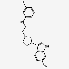 N#Cc1ccc2c(C3CCN(CCNc4cccc(F)c4)C3)c[nH]c2c1